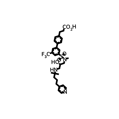 CN(CC(O)CNC(C)(C)CCCc1ccncc1)S(=O)(=O)c1cc(-c2ccc(CCC(=O)O)cc2)cc(C(F)(F)F)c1